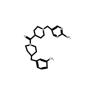 Cc1cccc(CC2CCN(C(=O)C3CCN(Cc4cnc(N)nc4)CC3)CC2)c1